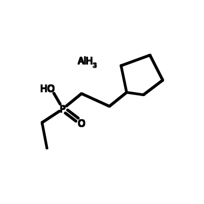 CCP(=O)(O)CCC1CCCC1.[AlH3]